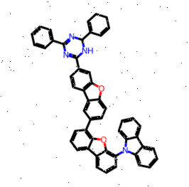 C1=CC(C2N=C(c3ccccc3)N=C(c3ccc4c(c3)oc3ccc(-c5cccc6c5oc5c(-n7c8ccccc8c8ccccc87)cccc56)cc34)N2)=CCC1